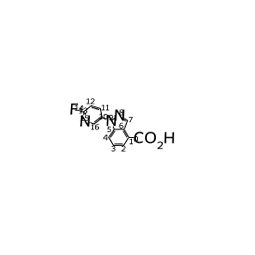 O=C(O)c1cccc2c1cnn2-c1ccc(F)nc1